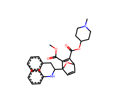 COC(=O)C1=C(C(=O)OC2CCN(C)CC2)C2C=CC1(C(Cc1ccccc1)Nc1ccccc1)O2